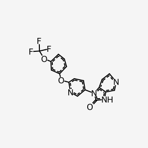 O=c1[nH]c2cnccc2n1-c1ccc(Oc2cccc(OC(F)(F)F)c2)nc1